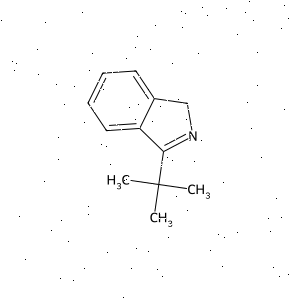 CC(C)(C)C1=NCc2ccccc21